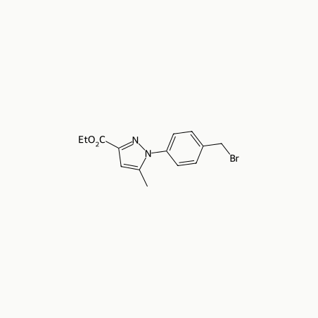 CCOC(=O)c1cc(C)n(-c2ccc(CBr)cc2)n1